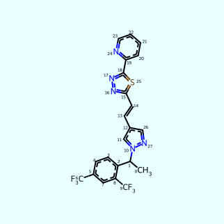 CC(c1ccc(C(F)(F)F)cc1C(F)(F)F)n1cc(C=Cc2nnc(-c3ccccn3)s2)cn1